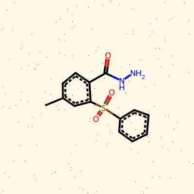 Cc1ccc(C(=O)NN)c(S(=O)(=O)c2ccccc2)c1